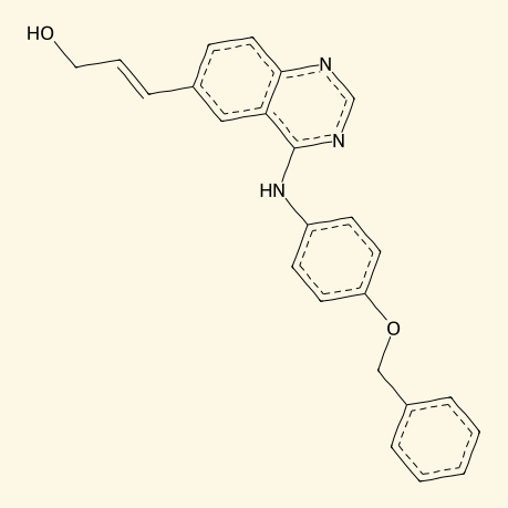 OCC=Cc1ccc2ncnc(Nc3ccc(OCc4ccccc4)cc3)c2c1